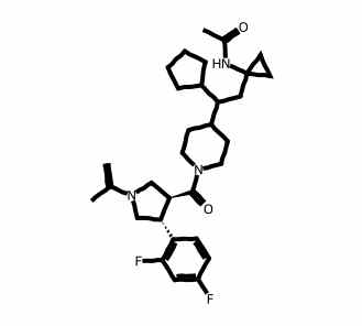 C=C(C)N1C[C@@H](C(=O)N2CCC(C(CC3(NC(C)=O)CC3)C3CCCC3)CC2)[C@H](c2ccc(F)cc2F)C1